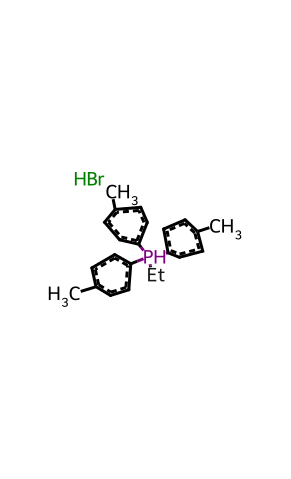 Br.CC[PH](c1ccc(C)cc1)(c1ccc(C)cc1)c1ccc(C)cc1